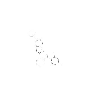 Cc1cn2nc([C@@H]3CCCCN3C(=O)c3ccc(F)cc3Cl)cc2nc1N1CC[C@H](C)C1